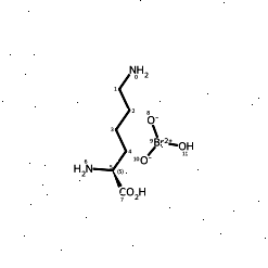 NCCCC[C@H](N)C(=O)O.[O-][Br+2]([O-])O